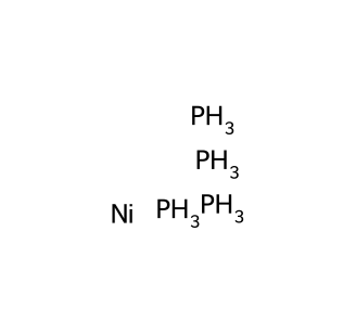 P.P.P.P.[Ni]